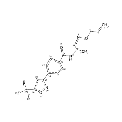 C=CCO/N=C\C(C)NC(=O)c1ccc(-c2noc(C(F)(F)F)n2)cc1